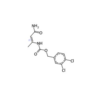 C/C(=C/C(N)=O)NC(=O)OCc1ccc(Cl)c(Cl)c1